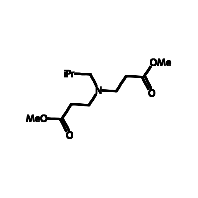 COC(=O)CCN(CCC(=O)OC)CC(C)C